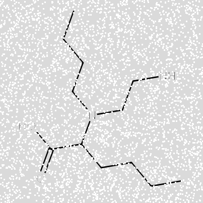 CCCCC(C(=O)O)N(CCN)CCCC